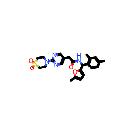 Cc1ccc(C(NC(=O)Cc2cnc(N3CCS(=O)(=O)CC3)nc2)c2ccc(C)o2)c(C)c1